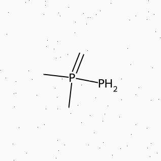 C=P(C)(C)P